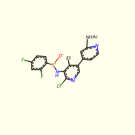 CCc1c(-c2ccnc(NC(C)=O)c2)cnc(Cl)c1N[S+]([O-])c1ccc(F)cc1F